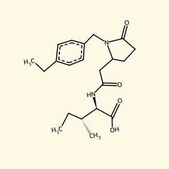 CCc1ccc(CN2C(=O)CCC2CC(=O)N[C@@H](C(=O)O)[C@H](C)CC)cc1